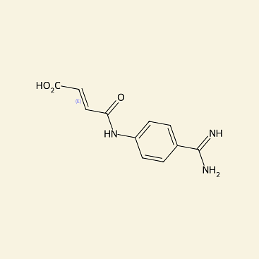 N=C(N)c1ccc(NC(=O)/C=C/C(=O)O)cc1